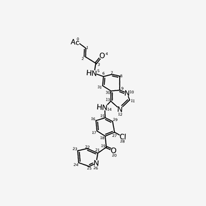 CC(=O)C=CC(=O)Nc1ccc2ncnc(Nc3ccc(C(=O)c4ccccn4)c(Cl)c3)c2c1